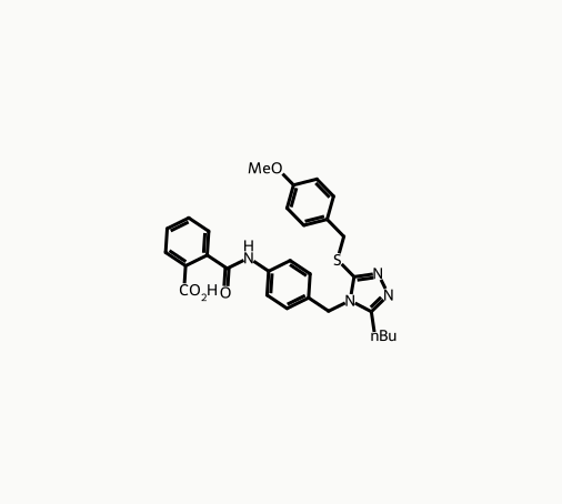 CCCCc1nnc(SCc2ccc(OC)cc2)n1Cc1ccc(NC(=O)c2ccccc2C(=O)O)cc1